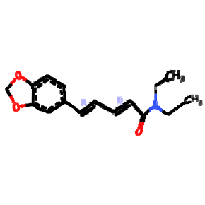 CCN(CC)C(=O)/C=C/C=C/c1ccc2c(c1)OCO2